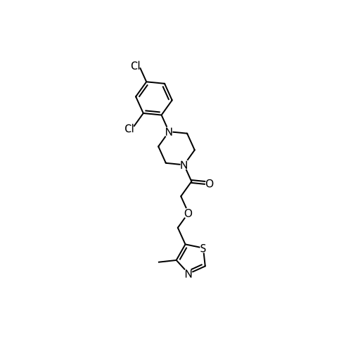 Cc1ncsc1COCC(=O)N1CCN(c2ccc(Cl)cc2Cl)CC1